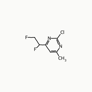 Cc1cc(C(F)CF)nc(Cl)n1